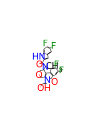 CN(C(=O)c1cc2cc(F)c(F)cc2[nH]1)C1COCc2c1c1cc(F)c(F)cc1c(=O)n2CCO